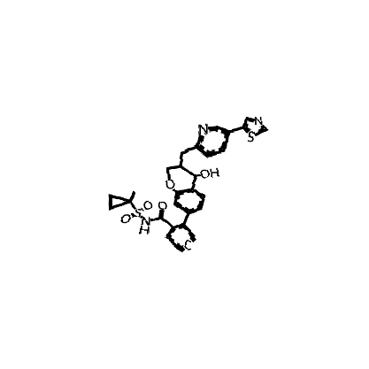 CC1(S(=O)(=O)NC(=O)c2ccccc2-c2ccc3c(c2)OCC(Cc2ccc(-c4cncs4)cn2)[C@H]3O)CC1